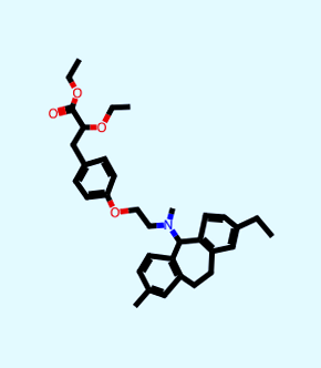 CCOC(=O)C(Cc1ccc(OCCN(C)C2c3ccc(C)cc3CCc3cc(CC)ccc32)cc1)OCC